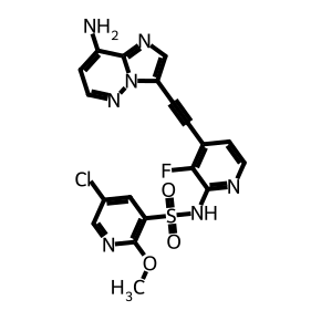 COc1ncc(Cl)cc1S(=O)(=O)Nc1nccc(C#Cc2cnc3c(N)ccnn23)c1F